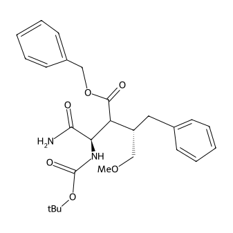 COC[C@@H](Cc1ccccc1)C(C(=O)OCc1ccccc1)[C@@H](NC(=O)OC(C)(C)C)C(N)=O